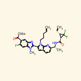 C=CCCCn1c(-c2nc3cc(C(=O)OC)c(F)cc3n2C)cc2ccc([C@@H](C)NC(=O)[C@H]3[C@H](C=C)C3(F)F)nc21